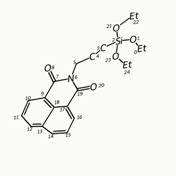 CCO[Si](CCCN1C(=O)c2cccc3cccc(c23)C1=O)(OCC)OCC